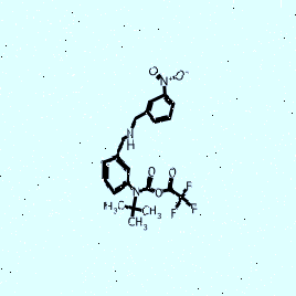 CC(C)(C)N(C(=O)OC(=O)C(F)(F)F)c1cccc(CNCc2cccc([N+](=O)[O-])c2)c1